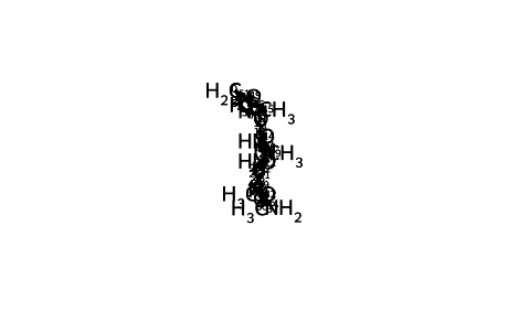 C=C1C[C@H]2C=Nc3cc(OCCCC(=O)Nc4cn(C)c(C(=O)Nc5ccc(-c6cc(C(=O)OC(C)CN)n(C)c6)cc5)n4)c(C)cc3C(=O)N2C1